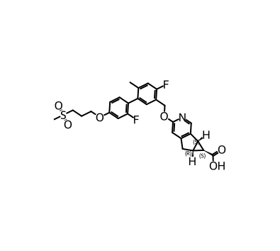 Cc1cc(F)c(COc2cc3c(cn2)[C@H]2[C@@H](C3)[C@@H]2C(=O)O)cc1-c1ccc(OCCCS(C)(=O)=O)cc1F